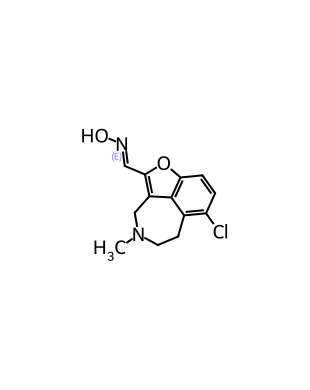 CN1CCc2c(Cl)ccc3oc(/C=N/O)c(c23)C1